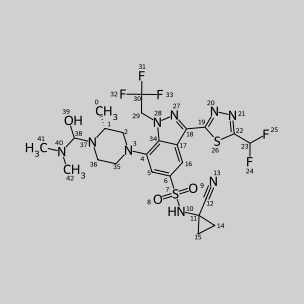 C[C@@H]1CN(c2cc(S(=O)(=O)NC3(C#N)CC3)cc3c(-c4nnc(C(F)F)s4)nn(CC(F)(F)F)c23)CCN1C(O)N(C)C